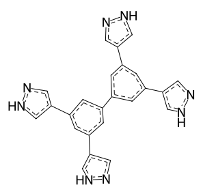 c1n[nH]cc1-c1cc(-c2cn[nH]c2)cc(-c2cc(-c3cn[nH]c3)cc(-c3cn[nH]c3)c2)c1